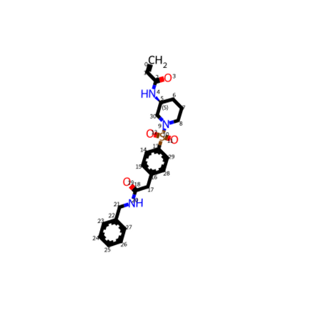 C=CC(=O)N[C@H]1CCCN(S(=O)(=O)c2ccc(CC(=O)NCc3ccccc3)cc2)C1